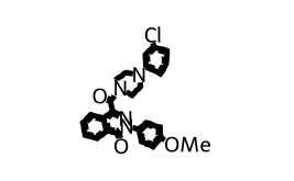 COc1ccc(-n2nc(C(=O)N3CCN(c4cccc(Cl)c4)CC3)c3ccccc3c2=O)cc1